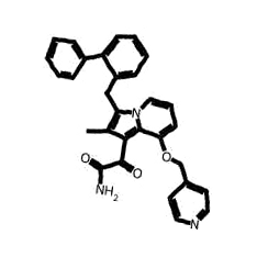 Cc1c(C(=O)C(N)=O)c2c(OCc3ccncc3)cccn2c1Cc1ccccc1-c1ccccc1